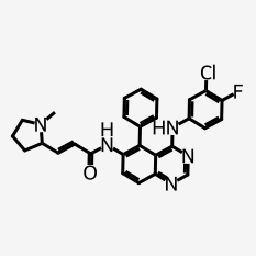 CN1CCCC1/C=C/C(=O)Nc1ccc2ncnc(Nc3ccc(F)c(Cl)c3)c2c1-c1ccccc1